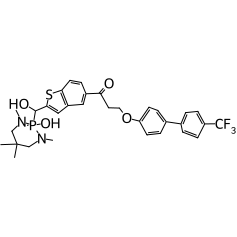 CN1CC(C)(C)CN(C)[P]1(O)C(O)c1cc2cc(C(=O)CCOc3ccc(-c4ccc(C(F)(F)F)cc4)cc3)ccc2s1